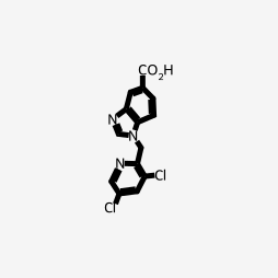 O=C(O)c1ccc2c(c1)ncn2Cc1ncc(Cl)cc1Cl